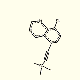 C[Si](C)(C)C#Cc1ccc(Cl)c2ncccc12